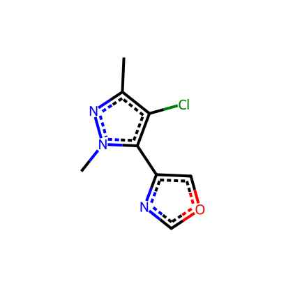 Cc1nn(C)c(-c2cocn2)c1Cl